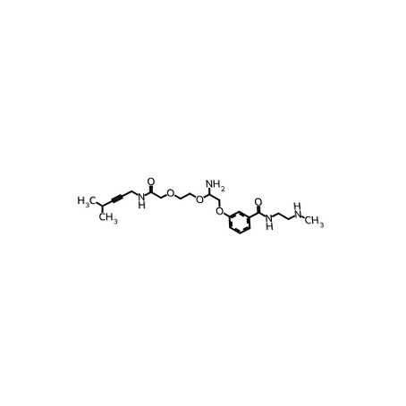 CNCCNC(=O)c1cccc(OCC(N)OCCOCC(=O)NCC#CC(C)C)c1